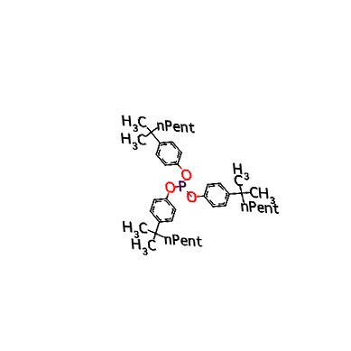 CCCCCC(C)(C)c1ccc(OP(Oc2ccc(C(C)(C)CCCCC)cc2)Oc2ccc(C(C)(C)CCCCC)cc2)cc1